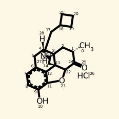 C[C@H]1C[C@H]2[C@H]3Cc4ccc(O)c5c4[C@@]2(CCN3CC2CCC2)C(O5)C1=O.Cl